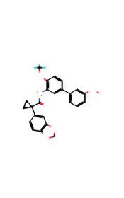 COc1cccc(-c2ccc(OC(F)(F)F)c(NC(=O)C3(c4ccc5c(c4)OCO5)CC3)c2)c1